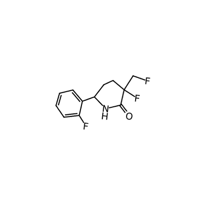 O=C1NC(c2ccccc2F)CCC1(F)CF